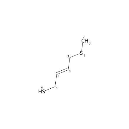 CSC/C=C/CS